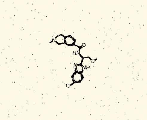 COC[C@H](NC(=O)c1ccc2c(c1)CN(C)CC2)c1nc2cc(Cl)ccc2[nH]1